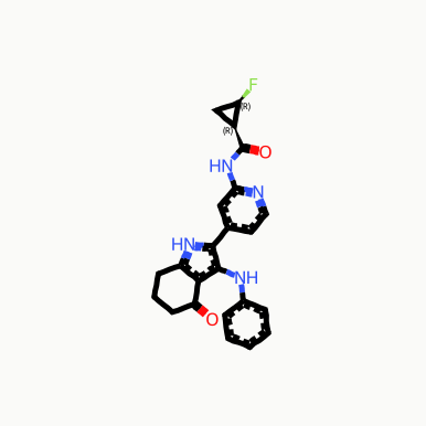 O=C1CCCc2[nH]c(-c3ccnc(NC(=O)[C@H]4C[C@H]4F)c3)c(Nc3ccccc3)c21